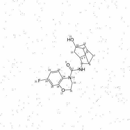 O=C(NC1C2CC3CC1CC(O)(C3)C2)N1CCOc2cc(F)ccc21